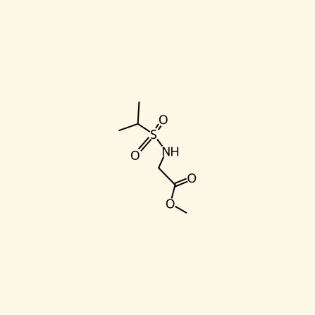 COC(=O)CNS(=O)(=O)C(C)C